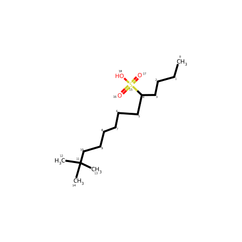 CCCCC(CCCCCCC(C)(C)C)S(=O)(=O)O